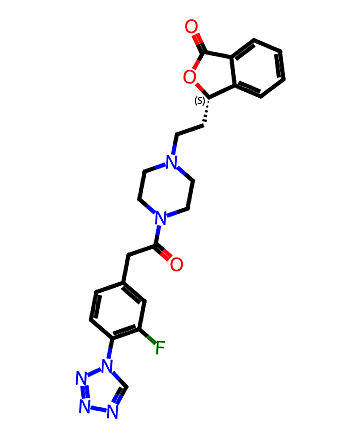 O=C1O[C@@H](CCN2CCN(C(=O)Cc3ccc(-n4cnnn4)c(F)c3)CC2)c2ccccc21